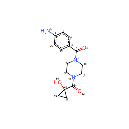 Nc1ccc(C(=O)N2CCN(C(=O)C3(O)CC3)CC2)cc1